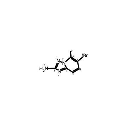 Cc1c(Br)ccc2nc(N)nn12